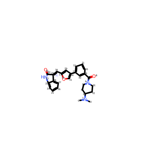 CN(C)C1CCN(C(=O)c2cccc(-c3coc(/C=C4/C(=O)Nc5ccccc54)c3)c2)CC1